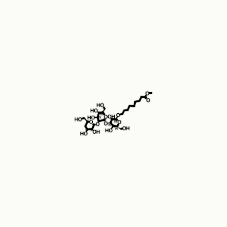 COC(=O)CCCCCCCCO[C@H]1O[C@H](CO)[C@@H](O)[C@H](O[C@H]2O[C@H](CO)[C@@H](O)[C@H](O)[C@H]2O[C@H]2O[C@H](CO)C[C@H](O)[C@H]2O)[C@H]1O